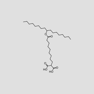 CCCCCCCCC(CCCCCCCC)OC(=O)CCCCCCCCC(C(=O)O)C(=O)O